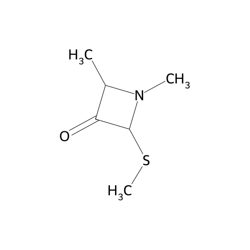 CSC1C(=O)C(C)N1C